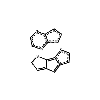 C1=C2C=c3ccsc3=C2SC1.c1cnc2cscc2n1